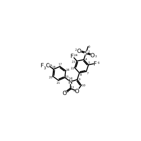 CS(=O)(=O)c1c(F)cc(-c2coc(=O)n2-c2ccc(C(F)(F)F)cc2)cc1F